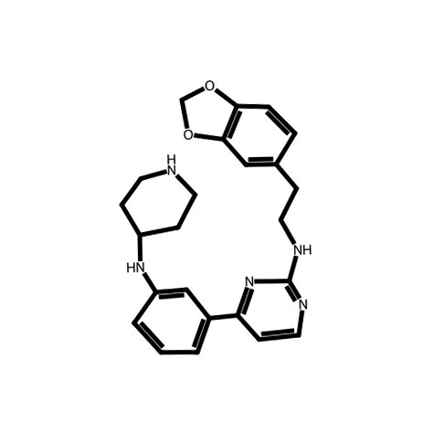 c1cc(NC2CCNCC2)cc(-c2ccnc(NCCc3ccc4c(c3)OCO4)n2)c1